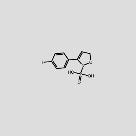 O=P(O)(O)N1OCC=C1c1ccc(F)cc1